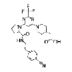 N#Cc1ccc(CCNC(=O)C2CCCN2c2cc(N3CCC(CC(=O)O)CC3)nc(C(F)(F)F)n2)cc1